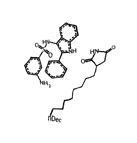 CCCCCCCCCCCCCCCCCCC1CC(=O)NC1=O.Nc1cccc(S(=O)(=O)Nc2c(-c3ccccc3)[nH]c3ccccc23)c1